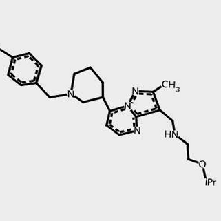 Cc1nn2c(C3CCCN(Cc4ccc(Cl)cc4)C3)ccnc2c1CNCCOC(C)C